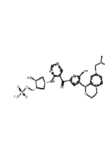 CN(C)Cc1ccc2c(c1)C(c1cc(C(=O)c3cncnc3N[C@@H]3C[C@H](COS(N)(=O)=O)[C@@H](O)C3)sc1C#N)OCC2